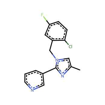 Cc1cn(Cc2cc(F)ccc2Cl)c(-c2cccnc2)n1